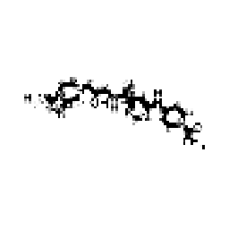 CC(=O)N1CCC(Nc2cc(C(=O)NC[C@H](O)CN3CCn4c(C)nnc4C3)ncn2)CC1